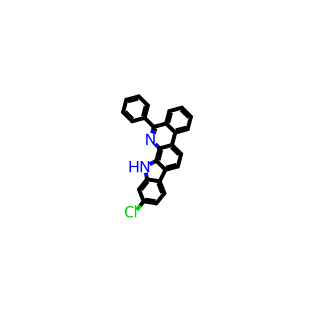 Clc1ccc2c(c1)[nH]c1c2ccc2c3ccccc3c(-c3ccccc3)nc21